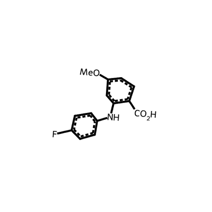 COc1ccc(C(=O)O)c(Nc2ccc(F)cc2)c1